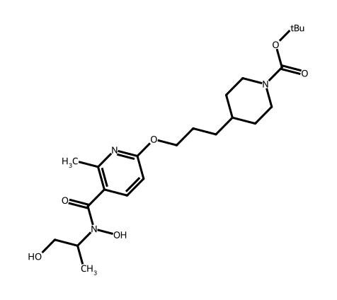 Cc1nc(OCCCC2CCN(C(=O)OC(C)(C)C)CC2)ccc1C(=O)N(O)C(C)CO